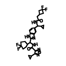 O=C(CC1CC(F)(F)C1)NC(c1ccc2[nH]c(C(NC(=O)c3nonc3C3CC3)C3CCC(F)(F)CC3)nc2c1)C1CC1